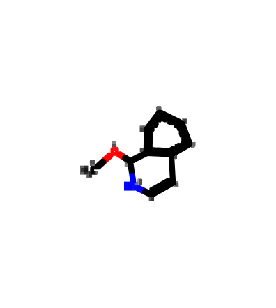 CO[C]1NC=Cc2ccccc21